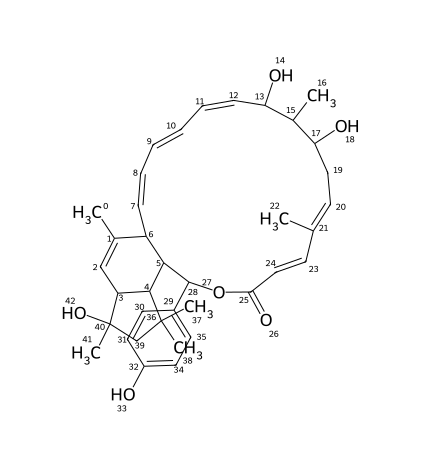 CC1=CC2C(C3C1\C=C/C=C/C=C\C(O)C(C)C(O)C/C=C(C)/C=C/C(=O)OC3c1ccc(O)cc1)C(C)(C)CC2(C)O